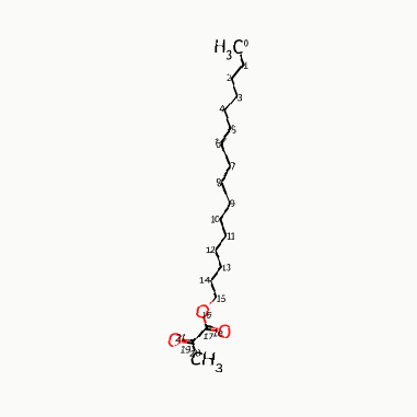 CCCCCCCCCCCCCCCCOC(=O)C(C)=O